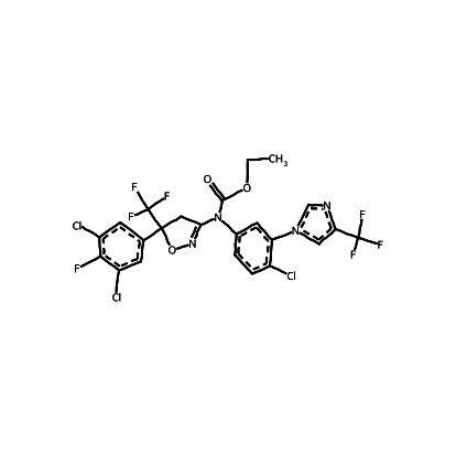 CCOC(=O)N(C1=NOC(c2cc(Cl)c(F)c(Cl)c2)(C(F)(F)F)C1)c1ccc(Cl)c(-n2cnc(C(F)(F)F)c2)c1